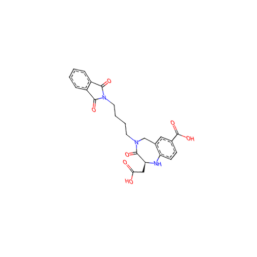 O=C(O)C[C@@H]1Nc2ccc(C(=O)O)cc2CN(CCCCN2C(=O)c3ccccc3C2=O)C1=O